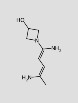 C/C(N)=C/C=C(\N)N1CC(O)C1